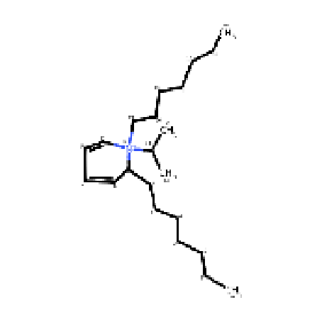 CCCCCCCC1C=CC=C[N+]1(CCCCCCC)C(C)C